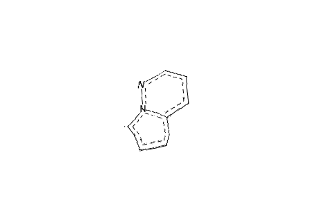 [c]1ccc2cccnn12